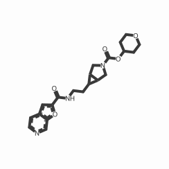 O=C(NCCC1C2CN(C(=O)OC3CCOCC3)CC12)c1cc2ccncc2o1